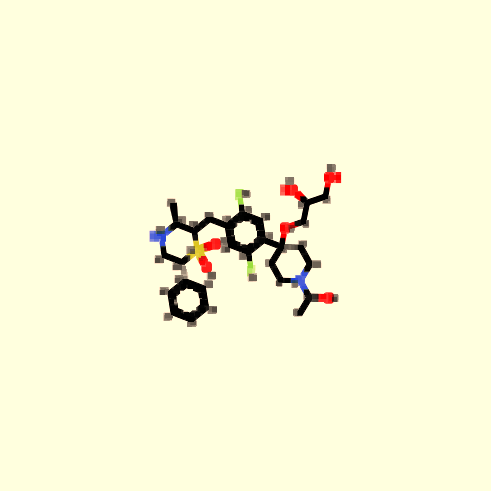 CC(=O)N1CCC(OC[C@@H](O)CO)(c2cc(F)c(CC3[C@H](C)NC[C@@H](c4ccccc4)S3(=O)=O)cc2F)CC1